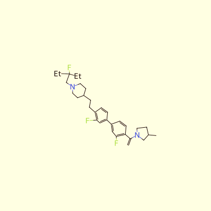 C=C(c1ccc(-c2ccc(CCC3CCN(CC(F)(CC)CC)CC3)c(F)c2)cc1F)N1CCC(C)C1